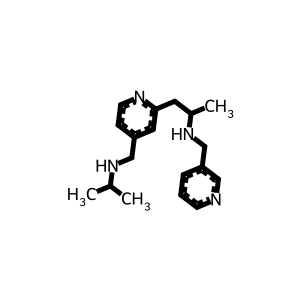 CC(C)NCc1ccnc(CC(C)NCc2cccnc2)c1